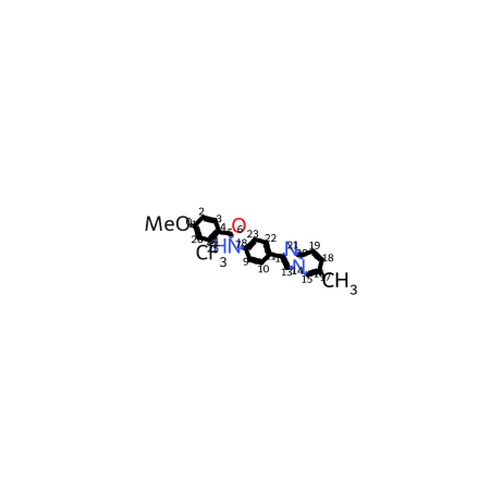 COc1ccc(C(=O)Nc2ccc(-c3cn4cc(C)ccc4n3)cc2)c(C(F)(F)F)c1